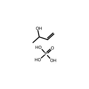 C=CC(C)O.O=P(O)(O)O